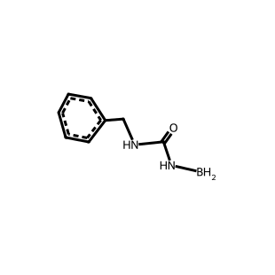 BNC(=O)NCc1ccccc1